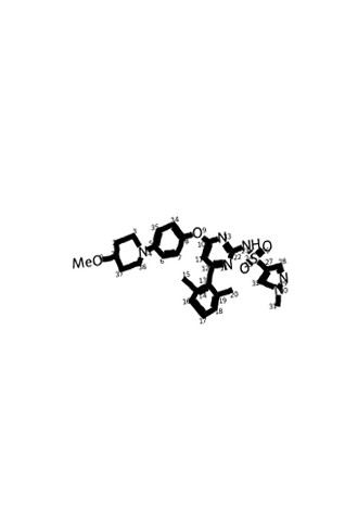 COC1CCN(c2ccc(Oc3cc(-c4c(C)cccc4C)nc(NS(=O)(=O)c4cnn(C)c4)n3)cc2)CC1